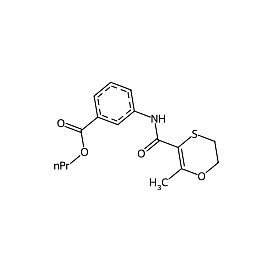 CCCOC(=O)c1cccc(NC(=O)C2=C(C)OCCS2)c1